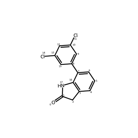 O=C1Cc2cccc(-c3cc(Cl)cc(Cl)c3)c2N1